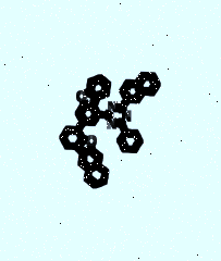 C1=CC(c2nc(-c3ccc4ccccc4c3)nc(-c3cc(C4=CCCc5c4oc4cc6c(cc54)C=CCC6)cc4oc5ccccc5c34)n2)=CCC1